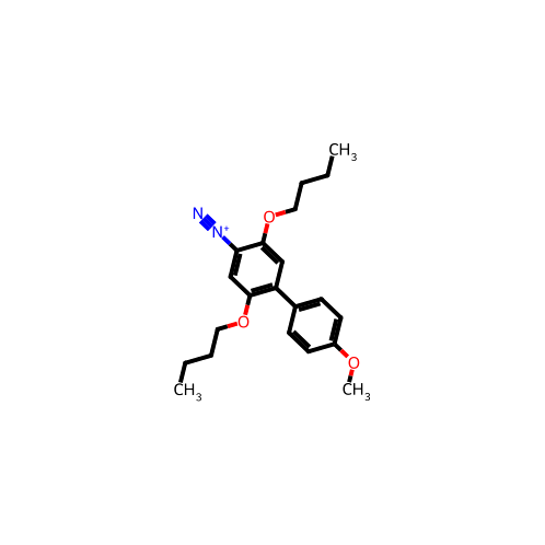 CCCCOc1cc(-c2ccc(OC)cc2)c(OCCCC)cc1[N+]#N